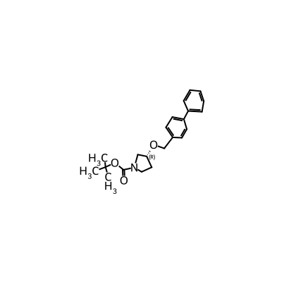 CC(C)(C)OC(=O)N1CC[C@@H](OCc2ccc(-c3ccccc3)cc2)C1